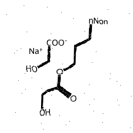 CCCCCCCCCCCCOC(=O)CO.O=C([O-])CO.[Na+]